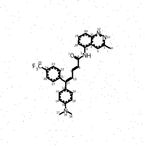 Cc1cc2c(NC(=O)C=CC=C(c3ccc(N(C)C)cc3)c3ccc(C(F)(F)F)cc3)cccc2nn1